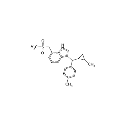 Cc1ccc(C(c2c[nH]c3c(CS(C)(=O)=O)cccc23)C2CC2C)cc1